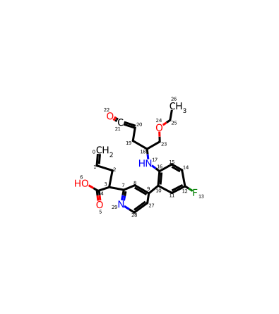 C=CCC(C(=O)O)c1cc(-c2cc(F)ccc2NC(CC=C=O)COCC)ccn1